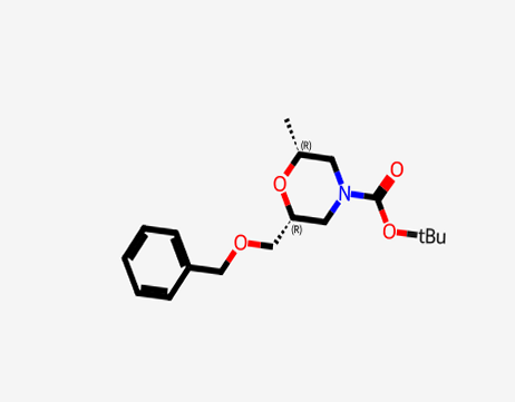 C[C@@H]1CN(C(=O)OC(C)(C)C)C[C@H](COCc2ccccc2)O1